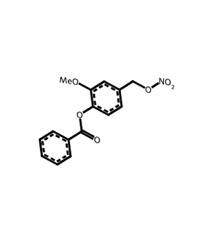 COc1cc(CO[N+](=O)[O-])ccc1OC(=O)c1ccccc1